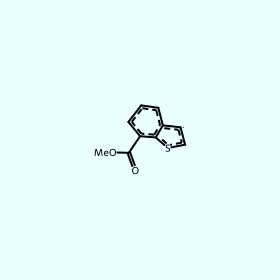 COC(=O)c1cccc2[c]csc12